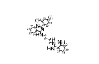 N=C(NCCCCNc1nc(-c2ccc(Cl)cc2Cl)nc2ccccc12)c1ccccc1N